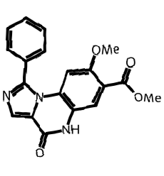 COC(=O)c1cc2[nH]c(=O)c3cnc(-c4ccccc4)n3c2cc1OC